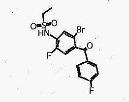 CCS(=O)(=O)Nc1cc(Br)c(C(=O)c2ccc(F)cc2)cc1F